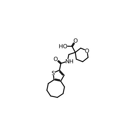 O=C(NCC1(C(=O)O)CCCOC1)c1cc2c(s1)CCCCCC2